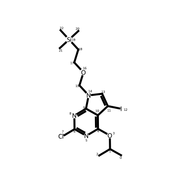 CC(C)Oc1nc(Cl)nc2c1c(I)cn2COCC[Si](C)(C)C